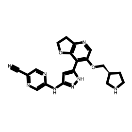 N#Cc1cnc(Nc2cc(-c3c(OC[C@H]4CCNC4)cnc4c3OCC4)[nH]n2)cn1